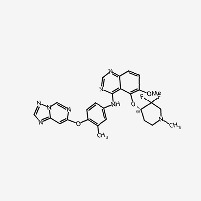 COc1ccc2ncnc(Nc3ccc(Oc4cc5ncnn5cn4)c(C)c3)c2c1O[C@H]1CCN(C)CC1(F)F